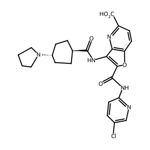 O=C(O)c1ccc2oc(C(=O)Nc3ccc(Cl)cn3)c(NC(=O)[C@H]3CC[C@H](N4CCCC4)CC3)c2n1